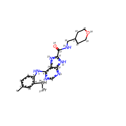 Cc1ccc(Nc2ncnc3[nH]c(C(=O)NCC4CCOCC4)nc23)c(BC(C)C)c1